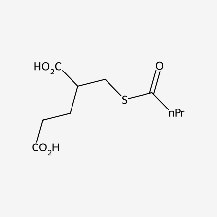 CCCC(=O)SCC(CCC(=O)O)C(=O)O